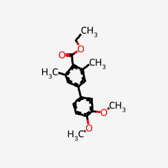 CCOC(=O)c1c(C)cc(-c2ccc(OC)c(OC)c2)cc1C